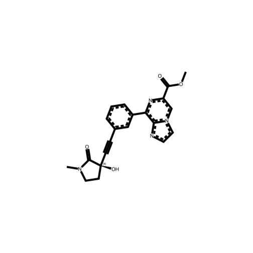 COC(=O)c1cn2ccnc2c(-c2cccc(C#C[C@]3(O)CCN(C)C3=O)c2)n1